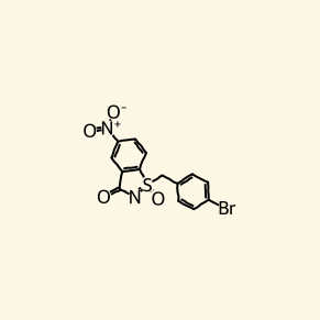 O=C1N=S(=O)(Cc2ccc(Br)cc2)c2ccc([N+](=O)[O-])cc21